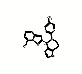 FC(F)(F)c1cnc(N2CCc3[nH]cnc3[C@H]2c2cc3cccc(Cl)n3n2)nc1